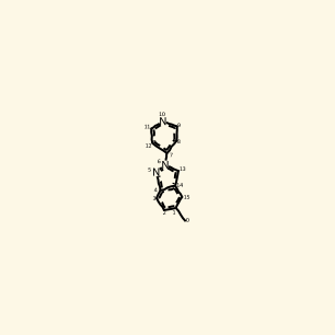 Cc1ccc2nn(-c3ccncc3)cc2c1